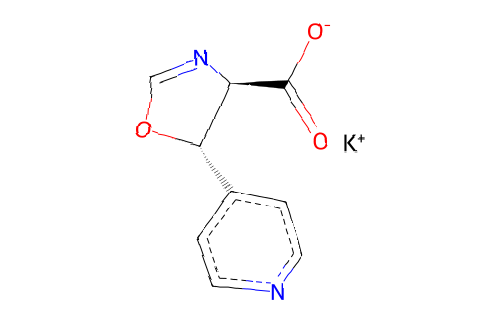 O=C([O-])[C@@H]1N=CO[C@H]1c1ccncc1.[K+]